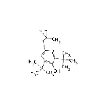 CC1(Cc2cc(C(C)(C)C)c(O)c(C(C)(C)C)c2)CS1